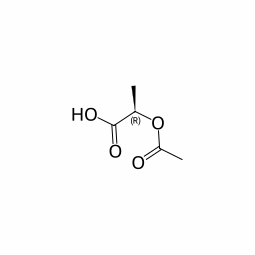 CC(=O)O[C@H](C)C(=O)O